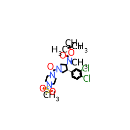 CN(C(=O)OC(C)(C)C)[C@@H]1CN(C(=O)N2CCN(S(C)(=O)=O)CC2)C[C@H]1c1ccc(Cl)c(Cl)c1